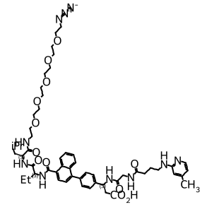 CC[C@H](NC(=O)c1ccc(-c2ccc([C@H](CC(=O)O)NC(=O)CNC(=O)CCCNc3cc(C)ccn3)cc2)c2ccccc12)C(=O)N[C@@H](CC(C)C)C(=O)NCCOCCOCCOCCOCCOCCN=[N+]=[N-]